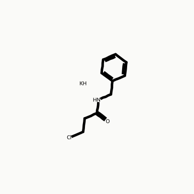 O=C(CCCl)NCc1ccccc1.[KH]